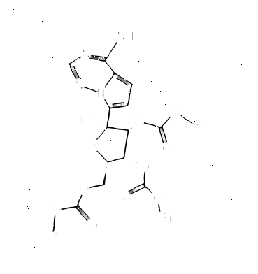 CC(C)OC(=O)OC[C@H]1O[C@@](C)(c2ccc3c(N)ncnn23)[C@H](OC(=O)OC(C)C)[C@@H]1OC(=O)OC(C)C